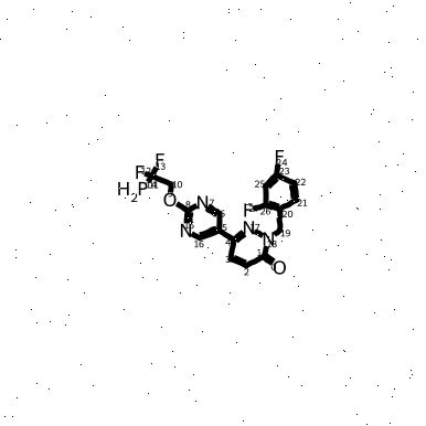 O=c1ccc(-c2cnc(OCC(F)(F)P)nc2)nn1Cc1ccc(F)cc1F